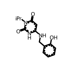 CC(C)n1c(=O)cc(NCc2ccccc2O)[nH]c1=O